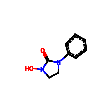 O=C1N(O)CCN1c1ccccc1